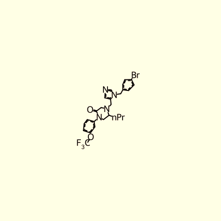 CCCC1CN(c2cccc(OC(F)(F)F)c2)C(=O)CN1Cc1cncn1Cc1ccc(Br)cc1